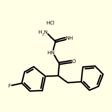 Cl.N=C(N)NC(=O)C(Cc1ccccc1)c1ccc(F)cc1